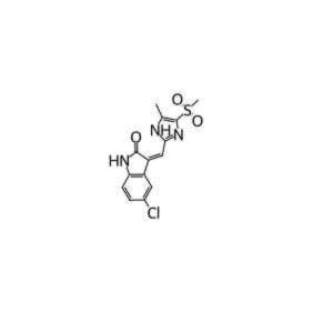 Cc1[nH]c(/C=C2\C(=O)Nc3ccc(Cl)cc32)nc1S(C)(=O)=O